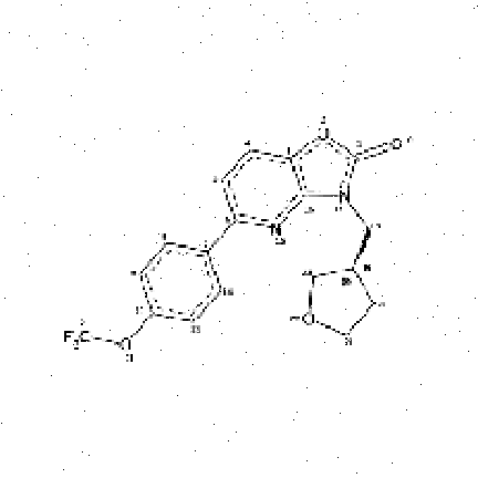 O=c1oc2ccc(-c3ccc(OC(F)(F)F)cc3)nc2n1C[C@H]1CCOC1